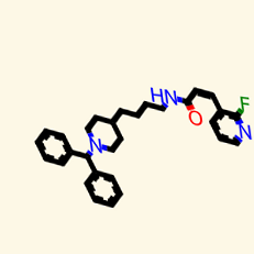 O=C(/C=C\c1cccnc1F)NCCCCC1CCN(C(c2ccccc2)c2ccccc2)CC1